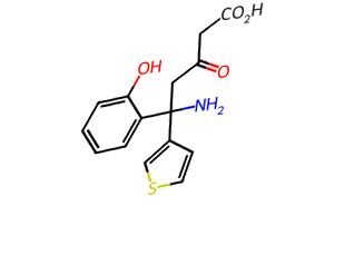 NC(CC(=O)CC(=O)O)(c1ccsc1)c1ccccc1O